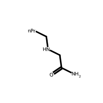 CCCCNCC(N)=O